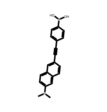 CN(C)c1ccc2cc(C#Cc3ccc(B(O)O)cc3)ccc2c1